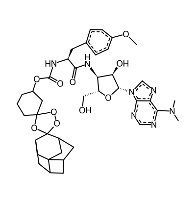 COc1ccc(C[C@H](NC(=O)OC2CCCC3(C2)OOC2(O3)C3CC4CC5CC2CC45C3)C(=O)N[C@H]2[C@@H](O)[C@H](n3cnc4c(N(C)C)ncnc43)O[C@@H]2CO)cc1